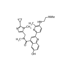 CNCCNc1ccc(-c2cc(C(=O)N(C)Cc3cnc(C4CC4)n3C)c3cc(O)ccc3n2)nc1C